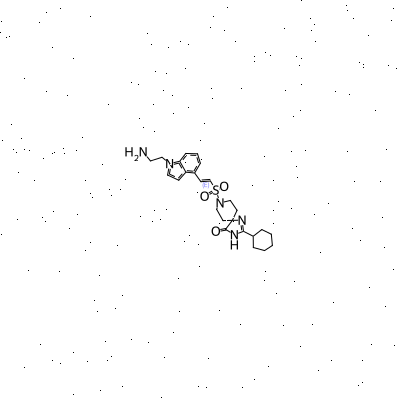 NCCn1ccc2c(/C=C/S(=O)(=O)N3CCC4(CC3)N=C(C3CCCCC3)NC4=O)cccc21